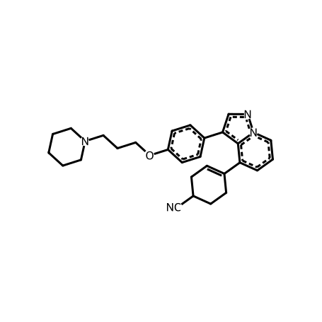 N#CC1CC=C(c2cccn3ncc(-c4ccc(OCCCN5CCCCC5)cc4)c23)CC1